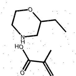 C=C(C)C(=O)O.CCC1CNCCO1